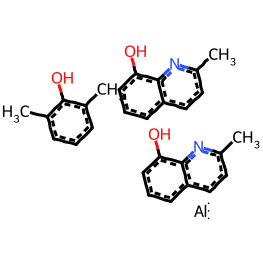 Cc1ccc2cccc(O)c2n1.Cc1ccc2cccc(O)c2n1.Cc1cccc(C)c1O.[Al]